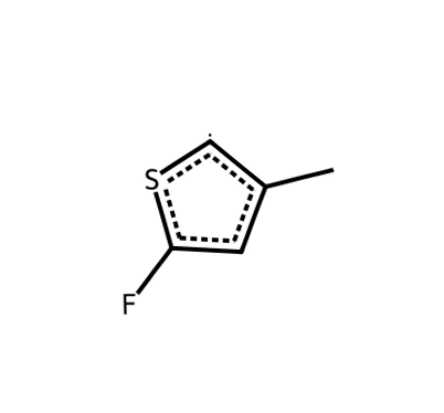 Cc1[c]sc(F)c1